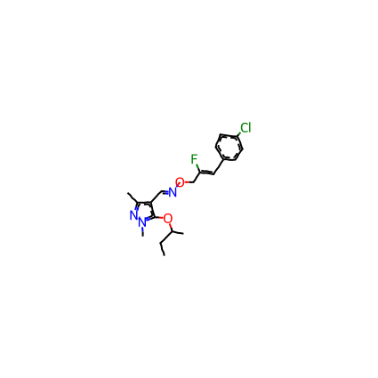 CCC(C)Oc1c(C=NOCC(F)=Cc2ccc(Cl)cc2)c(C)nn1C